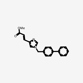 COC(=O)/C=C/c1cn(Cc2ccc(-c3ccccc3)cc2)cn1